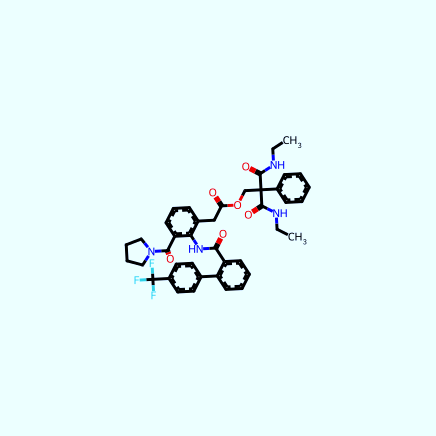 CCNC(=O)C(COC(=O)Cc1cccc(C(=O)N2CCCC2)c1NC(=O)c1ccccc1-c1ccc(C(F)(F)F)cc1)(C(=O)NCC)c1ccccc1